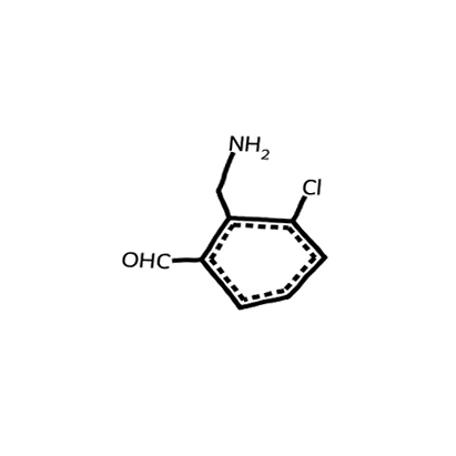 NCc1c(Cl)cccc1C=O